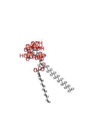 C#CC#CC#CC#CC#CC#CC(=O)OC[C@H](COP(=O)(O)OC1C(O)[C@H](OP(=O)(O)O)[C@H](OP(=O)(O)O)C(OP(=O)(O)O)[C@@H]1O)OC(=O)CCCCCCCCCCCCCCC